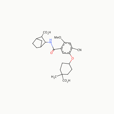 COc1cc(C#N)c(OC2CCC(C)(C(=O)O)CC2)cc1C(=O)NC1C2CCC(C2)C1C(=O)O